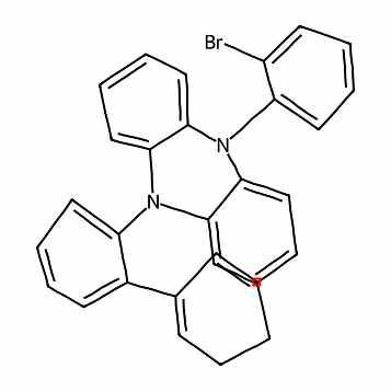 Brc1ccccc1N1c2ccccc2N(c2ccccc2C2=CCCC=C2)c2ccccc21